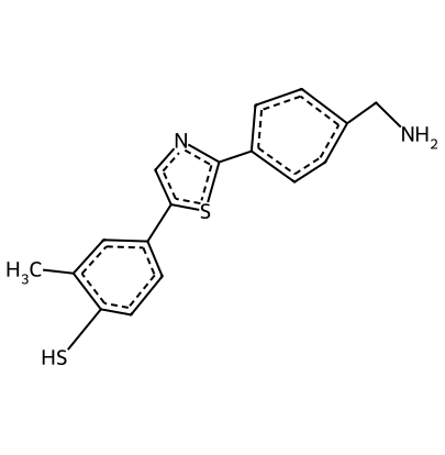 Cc1cc(-c2cnc(-c3ccc(CN)cc3)s2)ccc1S